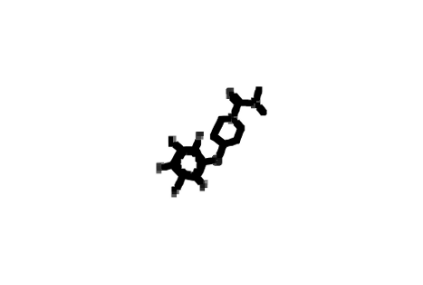 CN(C)C(=S)N1CCC(Oc2c(F)c(F)c(F)c(F)c2F)CC1